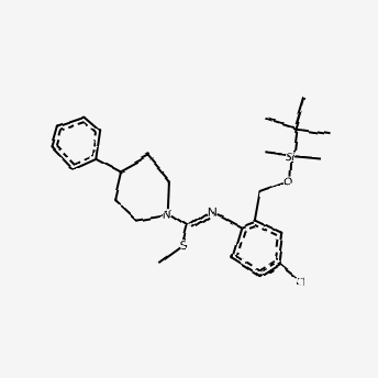 CS/C(=N\c1ccc(Cl)cc1CO[Si](C)(C)C(C)(C)C)N1CCC(c2ccccc2)CC1